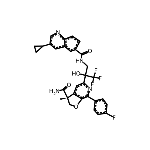 C[C@]1(C(N)=O)COc2c1cc(C(O)(CNC(=O)c1ccc3ncc(C4CC4)cc3c1)C(F)(F)F)nc2-c1ccc(F)cc1